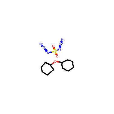 C1CCC(OC2CCCCC2)CC1.[N-]=[N+]=NS(=O)(=O)N=[N+]=[N-]